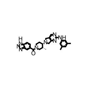 Cc1cc(C)cc(Nc2ncc3c(n2)CN([C@H]2CCN(C(=O)c4ccc5[nH]nnc5c4)C[C@H]2C)C3)c1